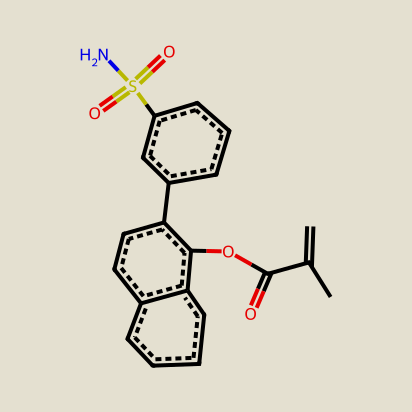 C=C(C)C(=O)Oc1c(-c2cccc(S(N)(=O)=O)c2)ccc2ccccc12